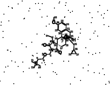 CCN1C(=O)N(COCC[Si](C)(C)C)C(=O)[C@@]12CC[C@@]1(O)[C@H]3Cc4ccc(OC)cc4[C@@]1(CCN3CC1CC1)C2